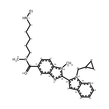 CCNCCCCCN(C)C(=O)c1ccc2c(c1)nc(-c1cc3cccnc3n1CC1CC1)n2C